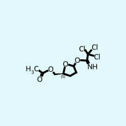 CC(=O)OC[C@@H]1CCC(OC(=N)C(Cl)(Cl)Cl)O1